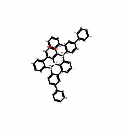 c1ccc(-c2ccc3c(c2)-c2cccc4c2B2c5c(cccc5N4c4ccc(-c5ccccc5)cc4-c4ccccc4)-c4ccccc4N23)cc1